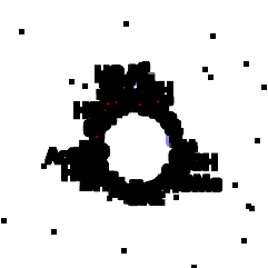 C=C(Cl)/C=C/[C@@H](O)CC(=C)C[C@H]1O[C@@H]2[C@H](C)[C@@H](OC(=O)C[C@@H]3C[C@H](OC(C)=O)C[C@@]4(C[C@@](C)(O)C[C@H](CC(=C)[C@@H](C)[C@H](OC(C)=O)[C@H](C)C(=O)C[C@@H]5C[C@H](OC)CC6(C[C@@H](O)C[C@H](/C=C\CCC[C@H]7O[C@](O)(C[C@H](O)[C@H]7C)[C@H]2O)O6)O5)O4)O3)[C@@H]1O